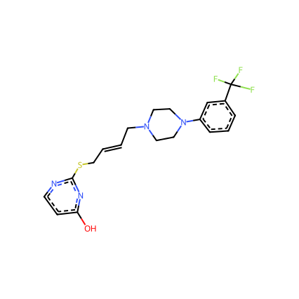 Oc1ccnc(SC/C=C/CN2CCN(c3cccc(C(F)(F)F)c3)CC2)n1